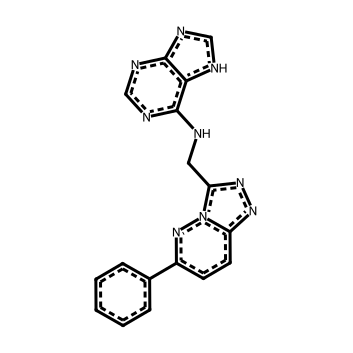 c1ccc(-c2ccc3nnc(CNc4ncnc5nc[nH]c45)n3n2)cc1